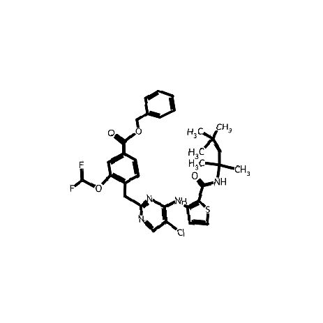 CC(C)(C)CC(C)(C)NC(=O)c1sccc1Nc1nc(Cc2ccc(C(=O)OCc3ccccc3)cc2OC(F)F)ncc1Cl